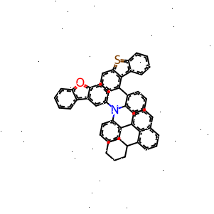 c1ccc(N(c2ccc3oc4ccccc4c3c2)c2ccccc2-c2cccc3sc4ccccc4c23)c(-c2cccc3cccc(C4CCCCC4)c23)c1